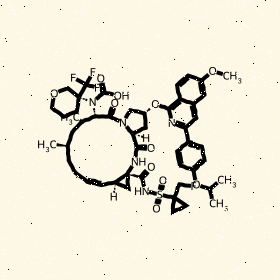 COc1ccc2c(O[C@@H]3C[C@H]4C(=O)N[C@]5(C(=O)NS(=O)(=O)C6(CF)CC6)C[C@H]5C=CCC[C@@H](C)C[C@@H](C)[C@H](N(C(=O)O)[C@]5(C(F)(F)F)CCCOC5)C(=O)N4C3)nc(-c3ccc(OC(C)C)cc3)cc2c1